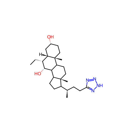 CC[C@H]1[C@@H](O)C2C3CCC([C@H](C)CCc4nn[nH]n4)[C@@]3(C)CCC2[C@@]2(C)CC[C@@H](O)C[C@@H]12